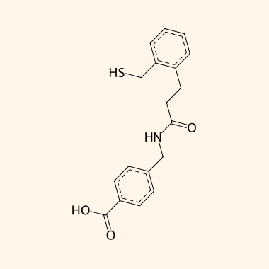 O=C(CCc1ccccc1CS)NCc1ccc(C(=O)O)cc1